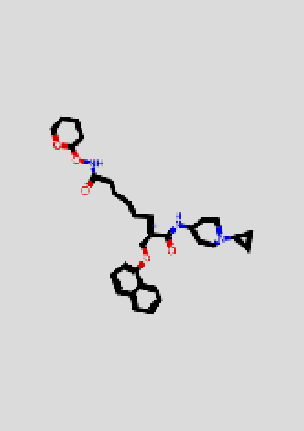 O=C(CCCC/C=C(\COc1cccc2ccccc12)C(=O)NC1CCN(C2CC2)CC1)NOC1CCCCO1